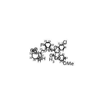 COC1CCC([C@H](c2ccc(Cl)cc2)[C@@H](C(=O)Nc2cccc(F)c2CC[C@H]2CN[C@@H]3CCCS(=O)(=O)N2C3)N(C)C(=O)O)CC1